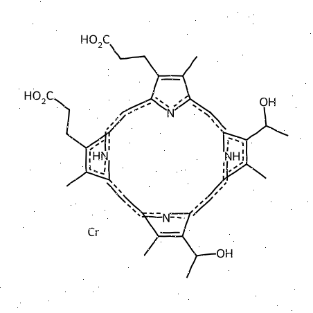 CC1=C(CCC(=O)O)c2cc3[nH]c(cc4nc(cc5[nH]c(cc1n2)c(C(C)O)c5C)C(C(C)O)=C4C)c(C)c3CCC(=O)O.[Cr]